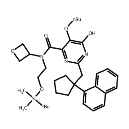 CCCCOc1c(O)nc(CC2(c3cccc4ccccc34)CCCC2)nc1C(=O)N(CCO[Si](C)(C)C(C)(C)C)C1COC1